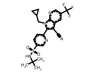 CC(C)(C)NS(=O)(=O)c1ccc(-c2c(C#N)c3cc(C(F)(F)F)cnc3n2CC2CC2)nc1